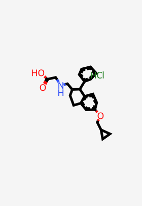 Cl.O=C(O)CNCC1CCc2cc(OCC3CC3)ccc2C1c1ccccc1